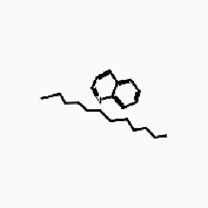 CCCCCCCCCCCC.c1ccc2ncccc2c1